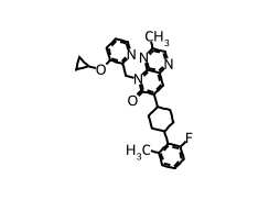 Cc1cnc2cc(C3CCC(c4c(C)cccc4F)CC3)c(=O)n(Cc3ncccc3OC3CC3)c2n1